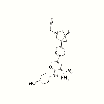 C#CCN1C[C@@H]2C[C@]2(c2ccc(/C(C)=C/C(C(=O)N[C@H]3CC[C@H](O)CC3)=C(/N)N=C)cc2)C1